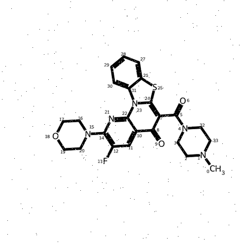 CN1CCN(C(=O)c2c(=O)c3cc(F)c(N4CCOCC4)nc3n3c2sc2ccccc23)CC1